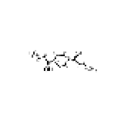 CCCC(=O)N1CCN(C(O)CCC)CC1